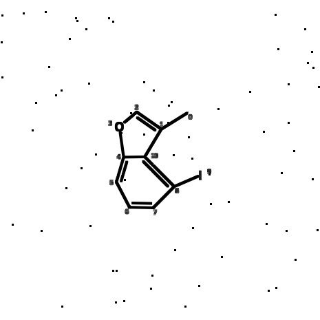 Cc1coc2cccc(I)c12